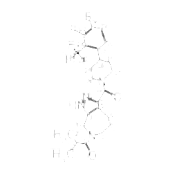 CC(C)C(=O)N1CCCc2c(C(=O)N3CCC(c4ccc(F)c(F)c4C(F)(F)F)CC3)n[nH]c2C1